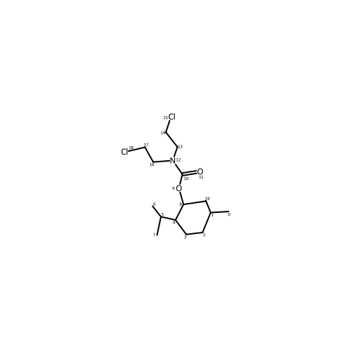 CC1CCC(C(C)C)C(OC(=O)N(CCCl)CCCl)C1